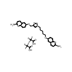 Nc1ccc2cc(OCCCCCn3cc(COc4ccc5nc(N)ccc5c4)nn3)ccc2n1.O=C(O)C(F)(F)F.O=C(O)C(F)(F)F